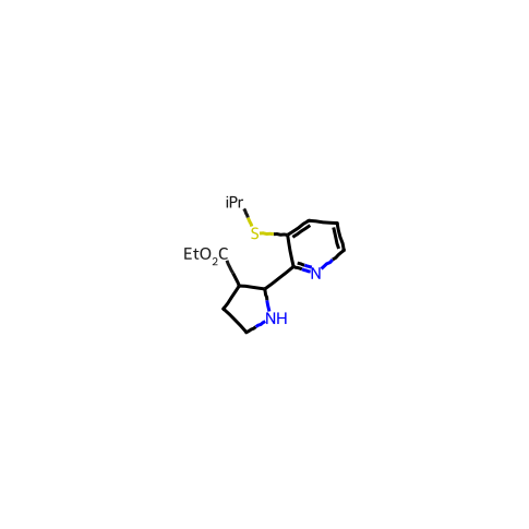 CCOC(=O)C1CCNC1c1ncccc1SC(C)C